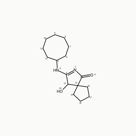 O=C1N=C(NC2CCCCCCC2)C(O)C12CCCC2